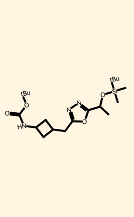 CC(O[Si](C)(C)C(C)(C)C)c1nnc(CC2CC(NC(=O)OC(C)(C)C)C2)o1